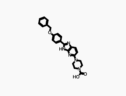 O=C(O)N1CCN(c2ccc3nc(-c4ccc(OCc5ccccc5)cc4)[nH]c3n2)CC1